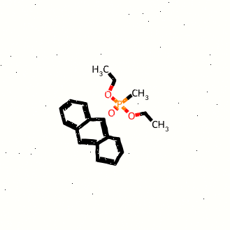 CCOP(C)(=O)OCC.c1ccc2cc3ccccc3cc2c1